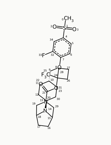 CS(=O)(=O)c1ccc(OC[C@H]2CC[C@H](N3C4CCC3CN(C(=O)OC3(C(F)(F)F)CCC3)C4)CC2)c(F)c1